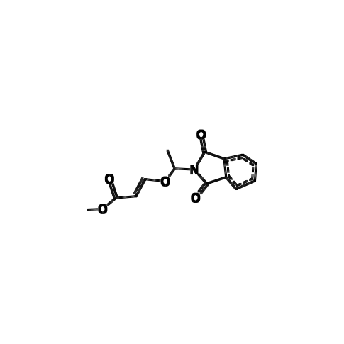 COC(=O)C=COC(C)N1C(=O)c2ccccc2C1=O